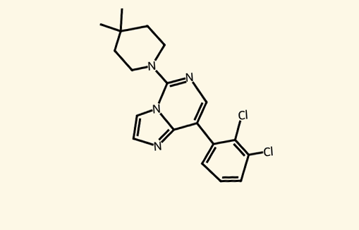 CC1(C)CCN(c2ncc(-c3cccc(Cl)c3Cl)c3nccn23)CC1